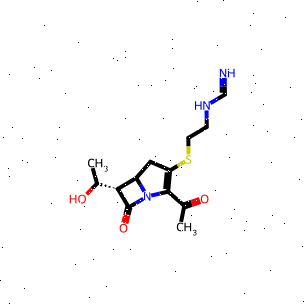 CC(=O)C1=C(SCCNC=N)CC2[C@@H](C(C)O)C(=O)N12